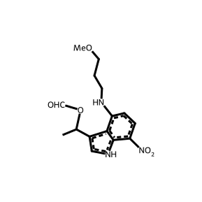 COCCCNc1ccc([N+](=O)[O-])c2[nH]cc(C(C)OC=O)c12